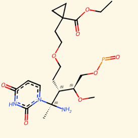 CCOC(=O)C1(CCOCC[C@H]([C@@H](COP=O)OC)[C@@](C)(N)n2ccc(=O)[nH]c2=O)CC1